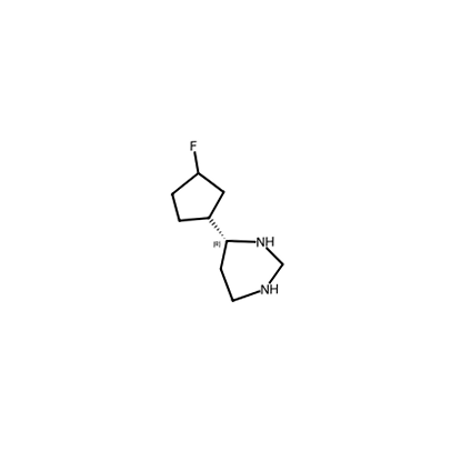 FC1CCC([C@H]2CCNCN2)C1